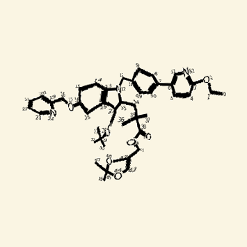 CCOc1ccc(-c2ccc(CN3c4ccc(OCc5ccccn5)cc4C(SC(C)(C)C)C3CC(C)(C)C(=O)OCC3COC(C)(C)O3)cc2)cn1